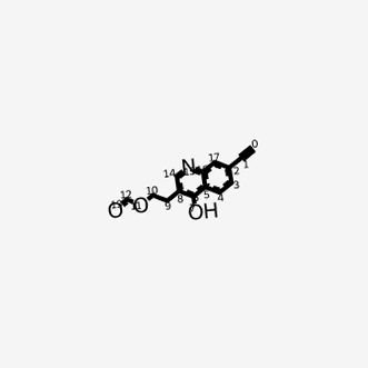 C#Cc1ccc2c(O)c(CCOC=O)cnc2c1